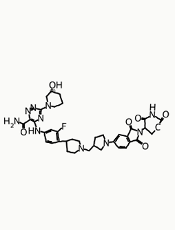 NC(=O)c1nnc(N2CCC[C@@H](O)C2)nc1Nc1ccc(C2CCN(CC3CCN(c4ccc5c(c4)C(=O)N(C4CCC(=O)NC4=O)C5=O)C3)CC2)c(F)c1